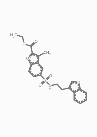 CCOC(=O)c1oc2ccc(S(=O)(=O)NCCc3coc4ccccc34)cc2c1C